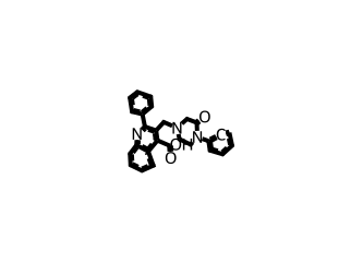 O=C(O)c1c(CN2CCN(c3ccccc3)C(=O)C2)c(-c2ccccc2)nc2ccccc12